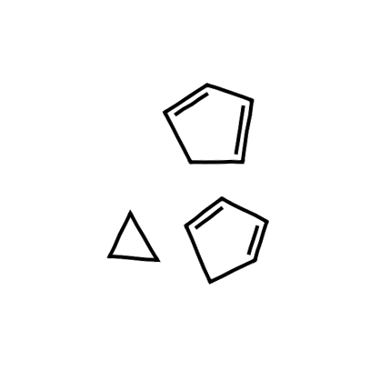 C1=CCC=C1.C1=CCC=C1.C1CC1